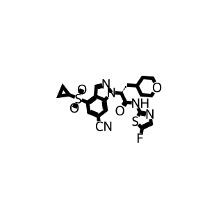 N#Cc1cc(S(=O)(=O)C2CC2)c2cnn([C@H](CC3CCOCC3)C(=O)Nc3ncc(F)s3)c2c1